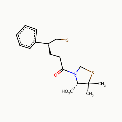 CC1(C)SCN(C(=O)CC[C@H](CS)c2ccccc2)[C@H]1C(=O)O